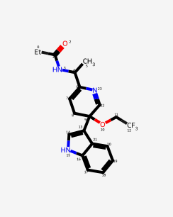 CCC(=O)NC(C)C1=CCC(OCC(F)(F)F)(c2c[nH]c3ccccc23)C=N1